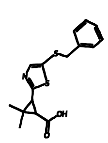 CC1(C)C(C(=O)O)C1c1ncc(SCc2ccccc2)s1